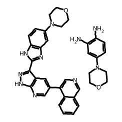 Nc1ccc(N2CCOCC2)cc1N.c1ccc2c(-c3cnc4[nH]nc(-c5nc6cc(N7CCOCC7)ccc6[nH]5)c4c3)cncc2c1